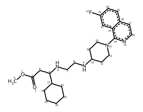 COC(=O)CC(NCCNC1CCN(c2nccc3ccc(F)cc23)CC1)C1CCCCC1